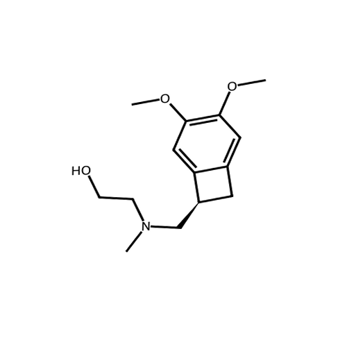 COc1cc2c(cc1OC)[C@H](CN(C)CCO)C2